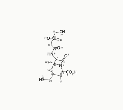 CC1=C(C(=O)O)N2C(=O)C(NC(=O)CS(=O)(=O)CC#N)[C@H]2SC1CS